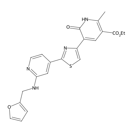 CCOC(=O)c1cc(-c2csc(-c3ccnc(NCc4ccco4)c3)n2)c(=O)[nH]c1C